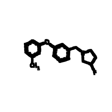 Cc1cccc(Oc2cccc(CN3CCC(F)C3)c2)c1